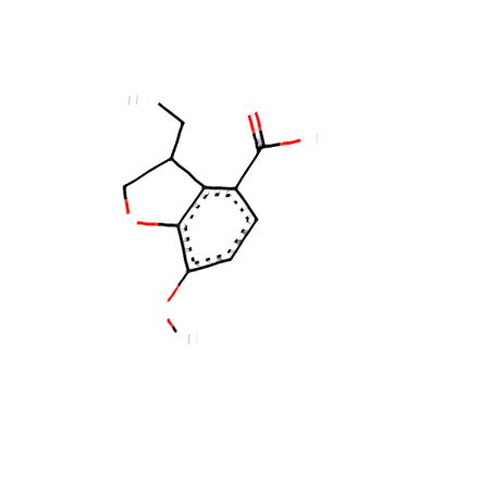 CCC1COc2c(OC)ccc(C(=O)O)c21